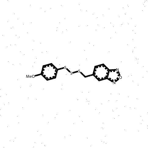 COc1ccc(SSSCc2ccc3nonc3c2)cc1